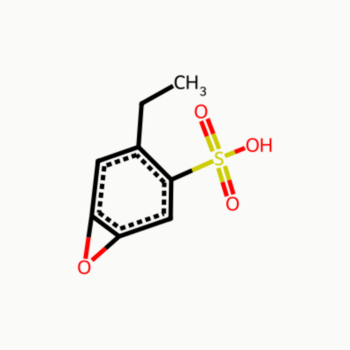 CCc1cc2c(cc1S(=O)(=O)O)O2